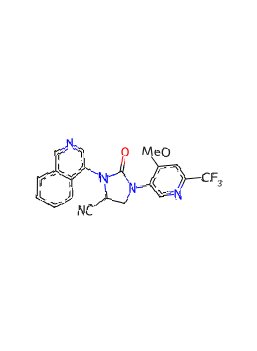 COc1cc(C(F)(F)F)ncc1N1CC(C#N)N(c2cncc3ccccc23)C1=O